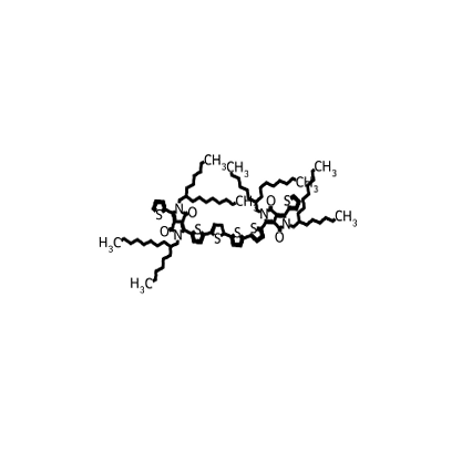 CCCCCCCCC(CCCCCC)CN1C(=O)C2=C(c3ccc(C4=CCC(c5ccc(-c6ccc(C7=C8C(=O)N(CC(CCCCCC)CCCCCCCC)C(c9cccs9)=C8C(=O)N7CC(CCCCCC)CCCCCCCC)s6)s5)S4)s3)N(CC(CCCCCC)CCCCCCCC)C(=O)C2=C1c1cccs1